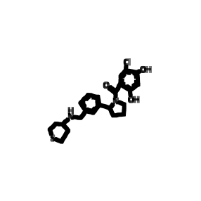 O=C(c1cc(Cl)c(O)cc1O)N1CCCC1c1cccc(CNC2CCSCC2)c1